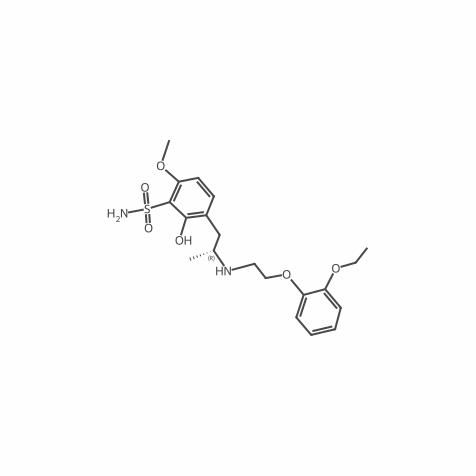 CCOc1ccccc1OCCN[C@H](C)Cc1ccc(OC)c(S(N)(=O)=O)c1O